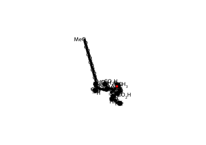 COCCOCCOCCOCCOCCOCCOCCOCCOCCOCCOCCOc1ccc(C[C@@H](C(=O)NCCCCc2ccc(COC(=O)N(CCOC34CC5(C)CC(C)(CC(Cn6ncc(-c7ccc(N8CCc9cccc(C(=O)Nc%10nc%11ccccc%11s%10)c9C8)nc7C(=O)O)c6C)(C5)C3)C4)CCS(=O)(=O)O)c(O[C@@H]3C[C@H](C(=O)O)[C@@H](O)[C@H](O)[C@H]3O)c2)N2C(=O)C=CC2=O)cc1